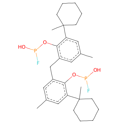 Cc1cc(Cc2cc(C)cc(C3(C)CCCCC3)c2OP(O)F)c(OP(O)F)c(C2(C)CCCCC2)c1